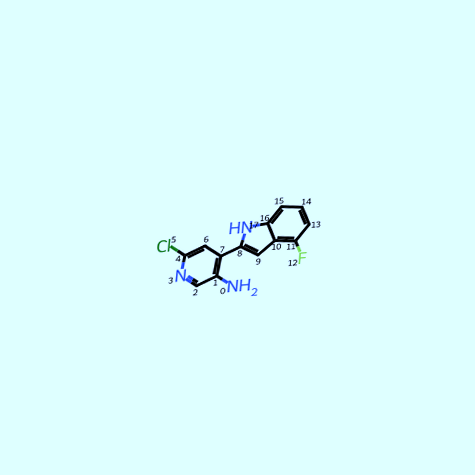 Nc1cnc(Cl)cc1-c1cc2c(F)cccc2[nH]1